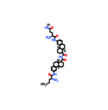 CC(C)NC(=O)CC[C@H](N)C(=O)Nc1ccc2c(c1)[C@@]1(C)CCC[C@](C)(C(=O)NC(=O)[C@@]3(C)CCC[C@]4(C)c5cc(NC(=O)[C@@H](N)CCC(=O)O)ccc5CC[C@@H]34)[C@@H]1CC2